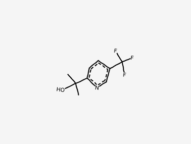 CC(C)(O)c1ccc(C(F)(F)F)cn1